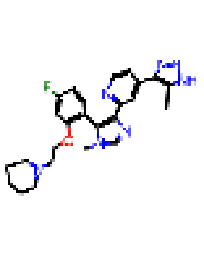 Cc1[nH]nnc1-c1ccnc(-c2ncn(C)c2-c2ccc(F)cc2OCCN2CCCCC2)c1